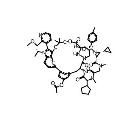 CCn1c(-c2cccnc2[C@H](C)OC)c2c3cc(ccc31)-c1cc(cc(OC(C)=O)c1)C[C@H](NC(=O)[C@H](C1CCCC1)N(C)C(=O)CN(C)C(=O)[C@H]1[C@@H](C3CC3)N1[S@+]([O-])c1ccc(C)cc1)C(=O)N1CCC[C@H](N1)C(=O)OCC(C)(C)C2